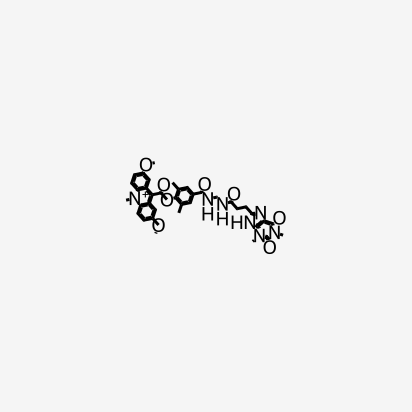 COc1ccc2c(c1)c(C(=O)Oc1c(C)cc(C(=O)NCNC(=O)CCc3nc4c(=O)n(C)c(=O)n(C)c4[nH]3)cc1C)c1cc(OC)ccc1[n+]2C